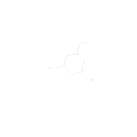 CN1CC(O)CC(C(C)(C)C)C1